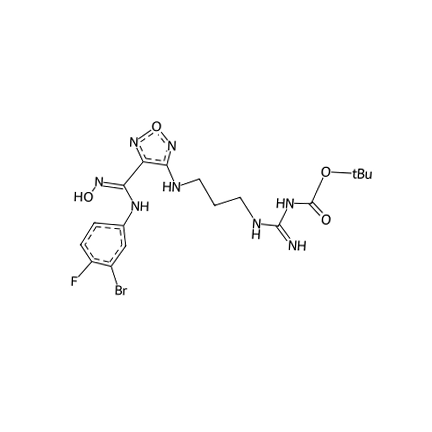 CC(C)(C)OC(=O)NC(=N)NCCCNc1nonc1/C(=N/O)Nc1ccc(F)c(Br)c1